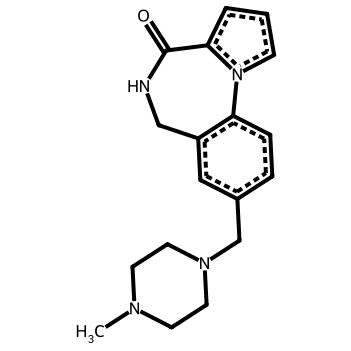 CN1CCN(Cc2ccc3c(c2)CNC(=O)c2cccn2-3)CC1